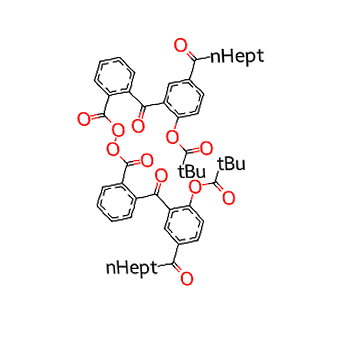 CCCCCCCC(=O)c1ccc(OC(=O)C(C)(C)C)c(C(=O)c2ccccc2C(=O)OOC(=O)c2ccccc2C(=O)c2cc(C(=O)CCCCCCC)ccc2OC(=O)C(C)(C)C)c1